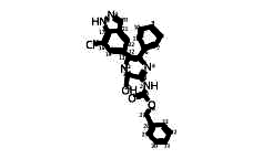 O=C(Nc1nc(-c2ccccc2)c(-c2cc(Cl)c3[nH]ncc3c2)nc1O)OCc1ccccc1